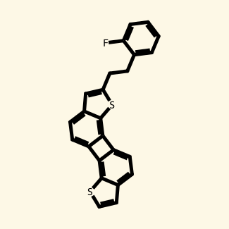 Fc1ccccc1CCc1cc2ccc3c(c2s1)-c1ccc2ccsc2c1-3